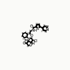 O=C(NCC(=O)[C@H]1CCCCC1N1C[C@H](Cl)[C@H]2OCC(=O)[C@H]21)c1ccc(-c2ccnnc2)s1